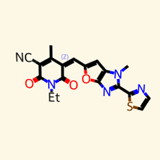 CCN1C(=O)C(C#N)=C(C)/C(=C/c2cc3c(nc(-c4nccs4)n3C)o2)C1=O